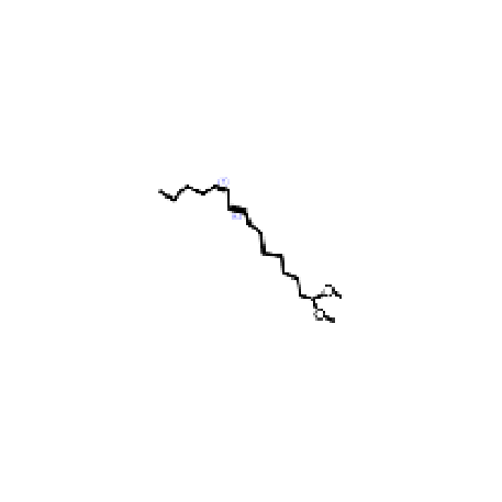 CCCC/C=C\C=C\CCCCCCCC(OC)OC